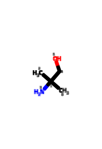 CC(C)(N)[C]O